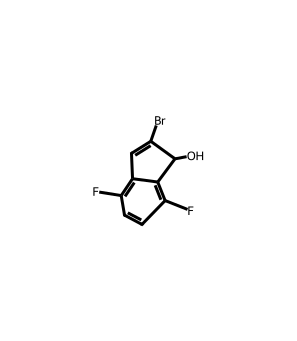 OC1C(Br)=Cc2c(F)ccc(F)c21